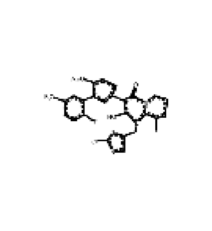 COc1ccc(-c2c(O)[n+](Cc3cnc(Cl)s3)c3c(C)cccn3c2=O)cc1-c1cc(C(F)(F)F)ccc1F